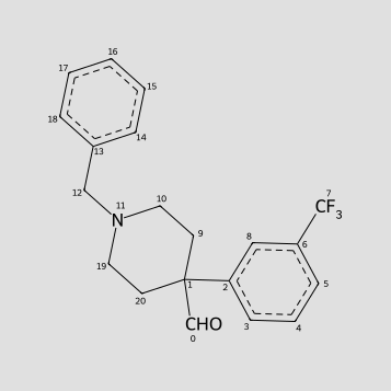 O=CC1(c2cccc(C(F)(F)F)c2)CCN(Cc2ccccc2)CC1